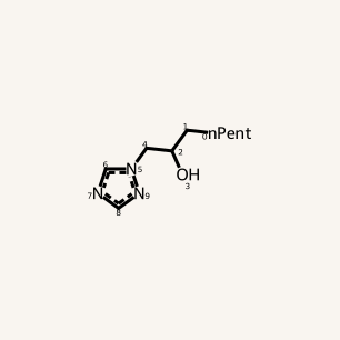 CCCCCCC(O)Cn1cncn1